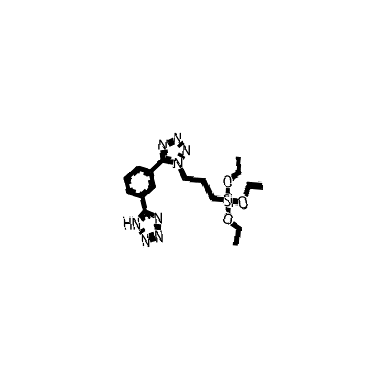 CCO[Si](CCCn1nnnc1-c1cccc(-c2nnn[nH]2)c1)(OCC)OCC